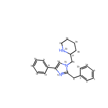 c1ccc(Cc2nc(-c3ccccc3)cn2CC2CCCCN2)cc1